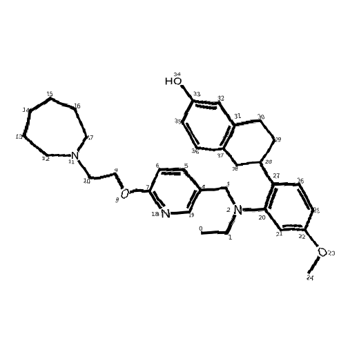 CCN(Cc1ccc(OCCN2CCCCCC2)nc1)c1cc(OC)ccc1C1CCc2cc(O)ccc2C1